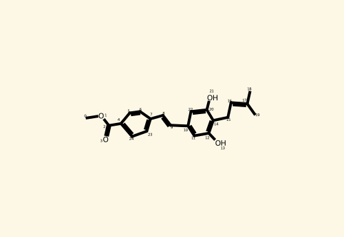 COC(=O)c1ccc(/C=C/c2cc(O)c(CC=C(C)C)c(O)c2)cc1